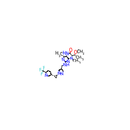 COC(C)C1C(=O)Nc2c(C)nc(NCc3cnn([C@@H]4C[C@H]4c4ccc(C(F)(F)F)nc4)c3)nc2N1C